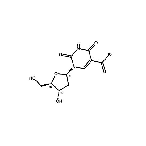 C=C(Br)c1cn([C@H]2C[C@H](O)[C@@H](CO)O2)c(=O)[nH]c1=O